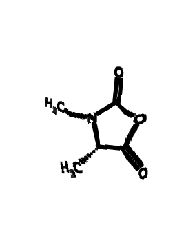 C[C@H]1C(=O)OC(=O)N1C